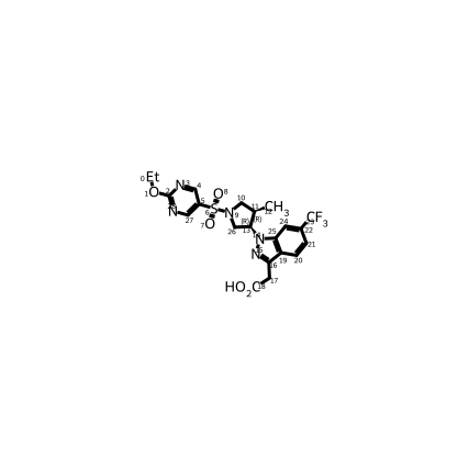 CCOc1ncc(S(=O)(=O)N2C[C@@H](C)[C@@H](n3nc(CC(=O)O)c4ccc(C(F)(F)F)cc43)C2)cn1